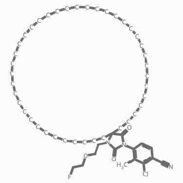 Cc1c(N2C(=O)N(CCOCCF)C3(CCCCCCCCCCCCCCCCCCCCCCCCCCCCCCCCCCCCCCCCC3)C2=O)ccc(C#N)c1Cl